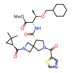 COC(=O)[C@@H](NC(=O)[C@@H]1CN(C(=O)c2cncs2)CC12CN(C(=O)[C@H]1CC1(C)C)C2)[C@@H](C)OCC1CCCCC1